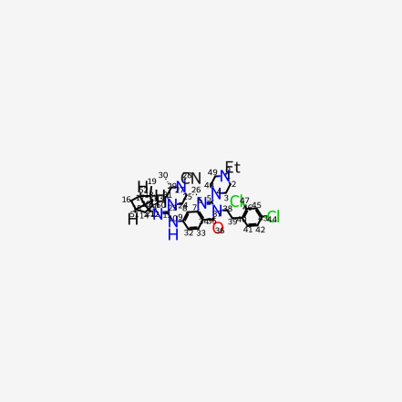 CCN1CCN(c2nc3cc(N/C(=N/[C@H]4C[C@@H]5C[C@H]([C@@H]4C)C5(C)C)N4C[C@@H](C)N(C#N)[C@@H](C)C4)ccc3c(=O)n2CCc2ccc(Cl)cc2Cl)CC1